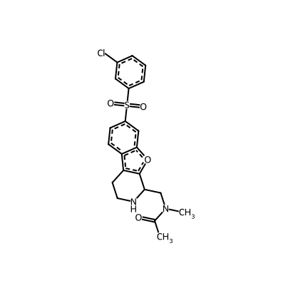 CC(=O)N(C)CC1NCCc2c1oc1cc(S(=O)(=O)c3cccc(Cl)c3)ccc21